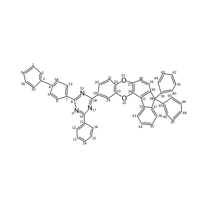 c1ccc(-c2ccc(-c3nc(-c4ccccc4)nc(-c4ccc5c(c4)Oc4c(ccc6c4-c4ccccc4C6(c4ccccc4)c4ccccc4)O5)n3)cc2)cc1